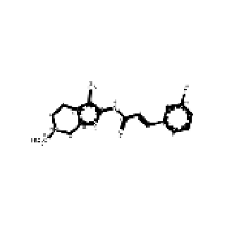 N#Cc1c(NC(=O)C=Cc2cccc(F)c2)sc2c1CCN(C(=O)O)C2